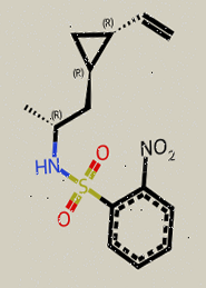 C=C[C@H]1C[C@@H]1C[C@@H](C)NS(=O)(=O)c1ccccc1[N+](=O)[O-]